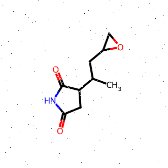 CC(CC1CO1)C1CC(=O)NC1=O